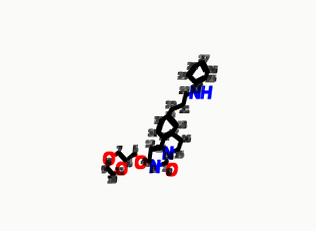 O=c1nc(OC[C@@H]2COCCO2)cc2n1CCc1cc(CCCNc3ccccc3)ccc1-2